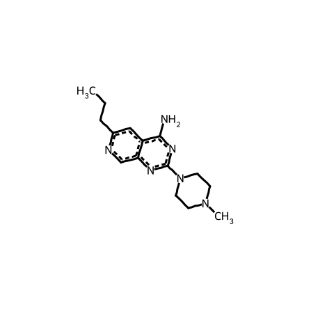 CCCc1cc2c(N)nc(N3CCN(C)CC3)nc2cn1